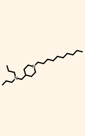 CCCCCCCCCCN1CCC(CN(CCC)CCC)CC1